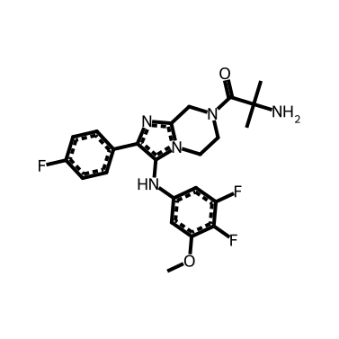 COc1cc(Nc2c(-c3ccc(F)cc3)nc3n2CCN(C(=O)C(C)(C)N)C3)cc(F)c1F